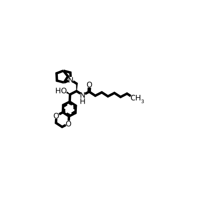 CCCCCCCC(=O)N[C@H](CN1CC2CCC1C2)[C@H](O)c1ccc2c(c1)OCCO2